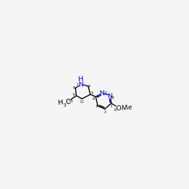 COc1ccc(C2CNCC(C)C2)nn1